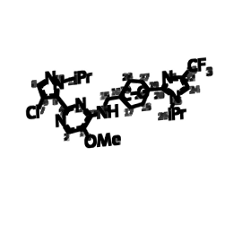 COc1cnc(-c2c(Cl)cnn2C(C)C)nc1NCC12CCC(c3nc(C(F)(F)F)cn3C(C)C)(CC1)OC2